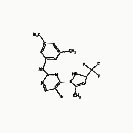 CC1=CC(C(F)(F)F)NN1c1nc(Nc2cc(C)cc(C)c2)ncc1Br